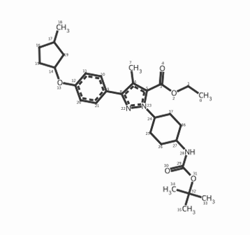 CCOC(=O)c1c(C)c(-c2ccc(OC3CCC(C)C3)cc2)nn1C1CCC(NC(=O)OC(C)(C)C)CC1